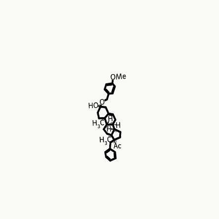 COc1ccc(CO[C@@]2(O)CC[C@@]3(C)C(=CC[C@@H]4[C@@H]3CC[C@@]3(C)[C@H]4CC[C@]3(Cc3ccccc3)C(C)=O)C2)cc1